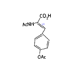 CC(=O)N/C(=C\c1ccc(OC(C)=O)cc1)C(=O)O